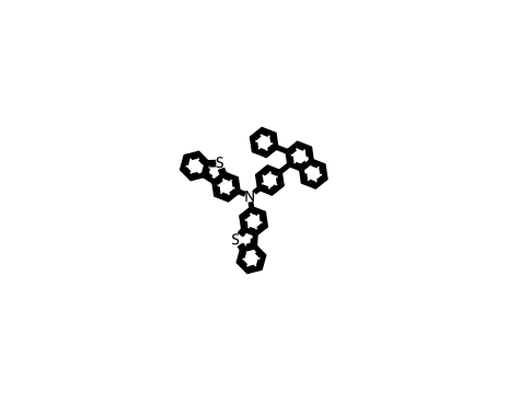 c1ccc(-c2ccc3ccccc3c2-c2ccc(N(c3ccc4c(c3)sc3ccccc34)c3ccc4c(c3)sc3ccccc34)cc2)cc1